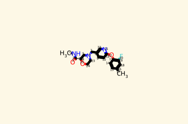 CNC(=O)[C@@H]1CN(Cc2ccc(Oc3ccc(C)cc3F)nc2)CCO1